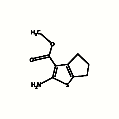 COC(=O)c1c(N)sc2c1CCC2